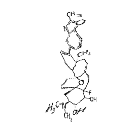 Cc1nc2cc(C3=CCC4[C@]3(C)CC=C3CC5(F)[C@@H](O)[C@H](O)[C@@H](N(C)C)C[C@]56CC[C@@]34O6)ccc2o1